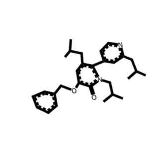 CC(C)Cc1cc(-c2c(CC(C)C)cc(OCc3ccccc3)c(=O)n2CC(C)C)ccn1